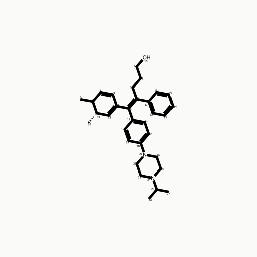 CC1C=CC(/C(=C(\CCCO)c2ccccc2)c2ccc(N3CCN(C(C)C)CC3)cc2)=C[C@@H]1C